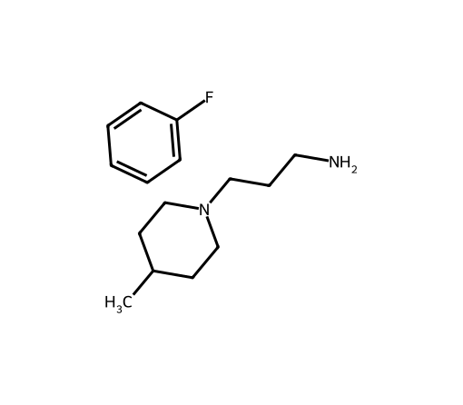 CC1CCN(CCCN)CC1.Fc1ccccc1